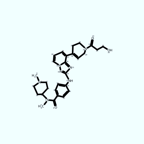 CN1CCC(N(C)C(=O)c2ccc(Nc3nc4c(C5=CCN(C(=O)CCO)CC5)cccn4n3)cc2)CC1